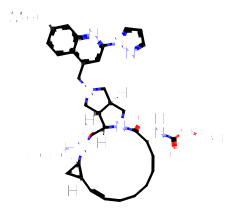 COc1ccc2c(CN3C[C@H]4CN5C(=O)[C@H](NC(=O)OC(C)(C)C)CCCCC/C=C\[C@H]6C[C@@]6(C(=O)O)NC(=O)[C@@H]5[C@H]4C3)cc(-n3cccn3)nc2c1